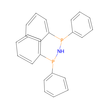 c1ccc(P(NP(c2ccccc2)c2ccccc2)c2ccccc2)cc1